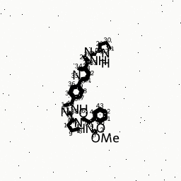 COC(=O)N[C@@H](C(=O)N1CCC[C@H]1C1=NCC(c2ccc(-c3ccc(-c4cnc([C@@H]5CCCN5)[nH]4)cn3)cc2)N1)c1ccccc1